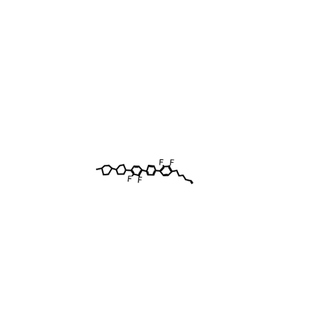 C=CCCCCc1ccc(-c2ccc(-c3ccc(C4CCC(C5CCC(C)CC5)CC4)c(F)c3F)cc2)c(F)c1F